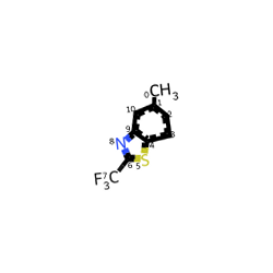 Cc1ccc2sc(C(F)(F)F)nc2c1